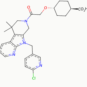 CC1(C)CN(C(=O)CO[C@H]2CC[C@H](C(=O)O)CC2)Cc2c1c1cccnc1n2Cc1ccc(Cl)nc1